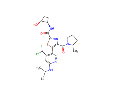 CCC(Nc1cc(C(F)F)c(-c2sc(C(=O)N[C@@H]3CC[C@@H]3O)nc2C(=O)N2CCC[C@@H]2C)cn1)C(F)(F)F